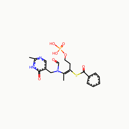 C/C(=C(/CCOP(=O)(O)O)SC(=O)c1ccccc1)N(C=O)Cc1cnc(C)[nH]c1=O